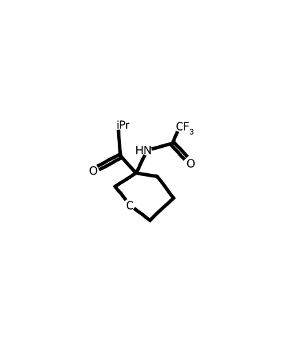 CC(C)C(=O)C1(NC(=O)C(F)(F)F)CCCCC1